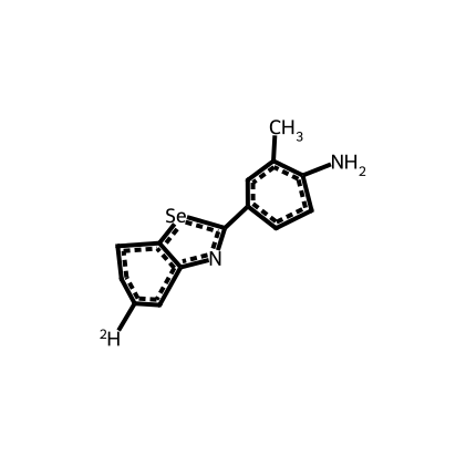 [2H]c1ccc2[se]c(-c3ccc(N)c(C)c3)nc2c1